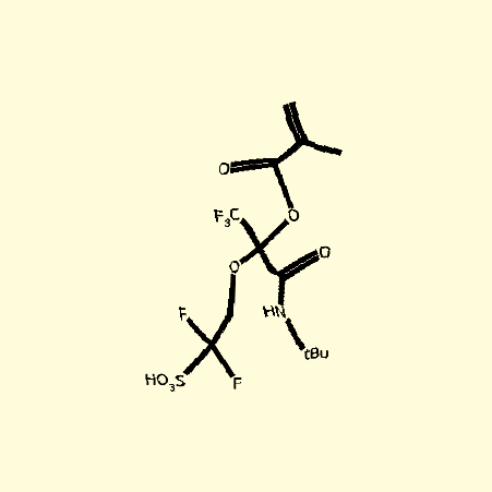 C=C(C)C(=O)OC(OCC(F)(F)S(=O)(=O)O)(C(=O)NC(C)(C)C)C(F)(F)F